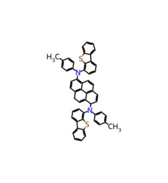 Cc1ccc(N(c2ccc3c4c5c(ccc24)C=CC(N(c2ccc(C)cc2)c2cccc4c2sc2ccccc24)C5=CC3)c2cccc3c2sc2ccccc23)cc1